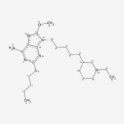 CCCCOc1nc(N)c2nc(OC)n(CCCCCC3CCCN(CC)C3)c2n1